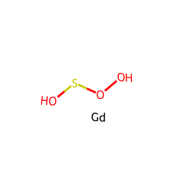 OOSO.[Gd]